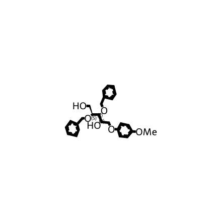 COc1ccc(OC[C@@H](O)[C@@H](OCc2ccccc2)[C@H](CO)OCc2ccccc2)cc1